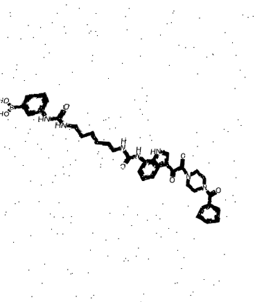 O=C(NCCCCCCNC(=O)Nc1cccc2c(C(=O)C(=O)N3CCN(C(=O)c4ccccc4)CC3)c[nH]c12)Nc1cccc(B(O)O)c1